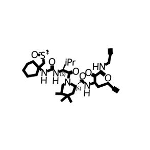 C#CCCC(NC(=O)[C@@H]1CC(C)(C)C(C)CN1C(=O)[C@@H](NC(=O)NC1(C[S+](C)[O-])CCCCC1)C(C)C)C(=O)C(=O)NCC#C